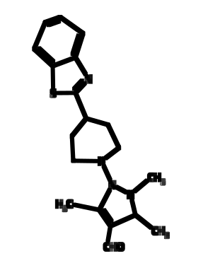 CC1=C(C=O)C(C)N(C)N1N1CCC(c2nc3ccccc3s2)CC1